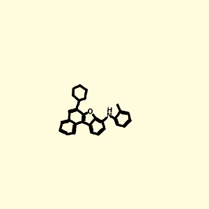 Cc1ccccc1Nc1cccc2c1oc1c(C3CCCCC3)cc3ccccc3c12